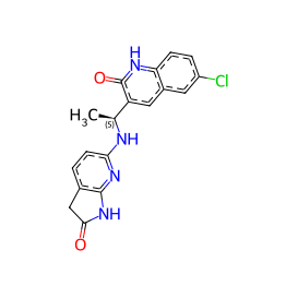 C[C@H](Nc1ccc2c(n1)NC(=O)C2)c1cc2cc(Cl)ccc2[nH]c1=O